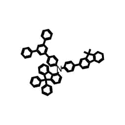 CC1(C)C2=C(C=CCC2)c2ccc(-c3ccc(N(c4ccc(-c5cc(-c6ccccc6)cc(-c6ccccc6)c5)cc4)c4cccc5c4-c4ccccc4C5(c4ccccc4)c4ccccc4)cc3)cc21